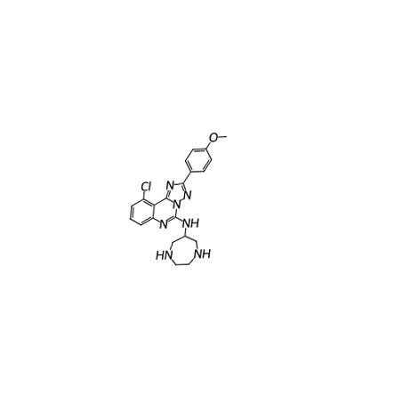 COc1ccc(-c2nc3c4c(Cl)cccc4nc(NC4CNCCNC4)n3n2)cc1